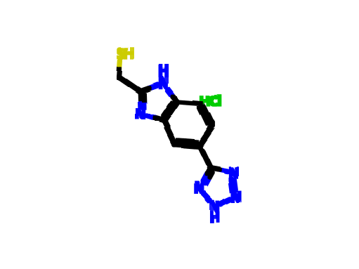 Cl.SCc1nc2cc(-c3nn[nH]n3)ccc2[nH]1